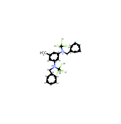 [CH2]c1cc(N(Cc2ccccc2)C(F)(F)F)cc(N(Cc2ccccc2)C(F)(F)F)c1